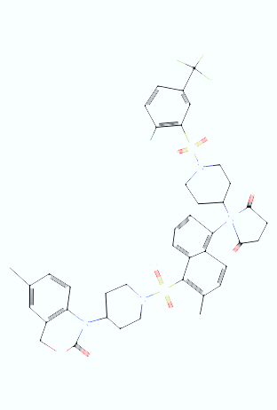 Cc1ccc2c(c1)COC(=O)N2C1CCN(S(=O)(=O)c2c(C)ccc3c([N+]4(C5CCN(S(=O)(=O)c6cc(C(F)(F)F)ccc6Cl)CC5)C(=O)CCC4=O)cccc23)CC1